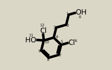 OCCCC1C(Cl)=CC=CC1(O)Cl